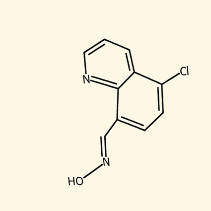 ON=Cc1ccc(Cl)c2cccnc12